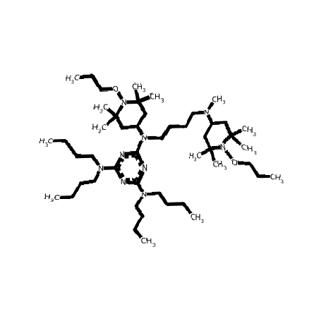 CCCCN(CCCC)c1nc(N(CCCC)CCCC)nc(N(CCCCN(C)C2CC(C)(C)N(OCCC)C(C)(C)C2)C2CC(C)(C)N(OCCC)C(C)(C)C2)n1